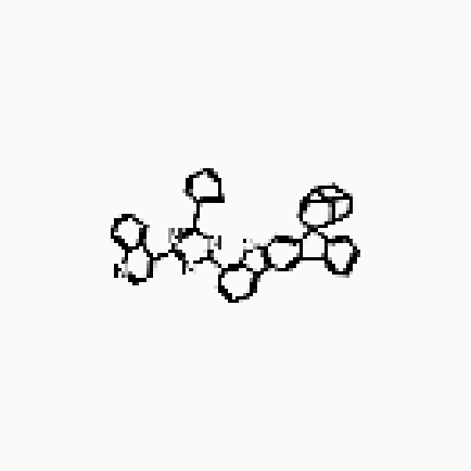 c1ccc(-c2nc(-c3ccnc4ccccc34)nc(-c3cccc4c3oc3cc5c(cc34)-c3ccccc3C53C4CC5CC(C4)CC3C5)n2)cc1